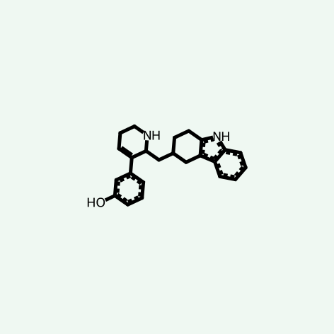 Oc1cccc(C2=CCCNC2CC2CCc3[nH]c4ccccc4c3C2)c1